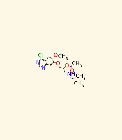 COc1cc2c(Cl)ncnc2cc1OCC(CNCC(C)C)OC(C)=O